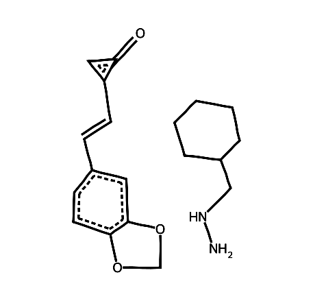 NNCC1CCCCC1.O=c1cc1C=Cc1ccc2c(c1)OCO2